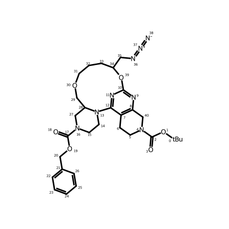 CC(C)(C)OC(=O)N1CCc2c(nc3nc2N2CCN(C(=O)OCc4ccccc4)CC2COCCCC(CN=[N+]=[N-])O3)C1